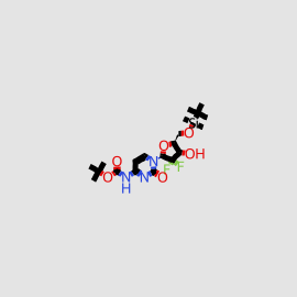 CC(C)(C)OC(=O)Nc1ccn([C@@H]2O[C@H](CO[Si](C)(C)C(C)(C)C)C(O)C2(F)F)c(=O)n1